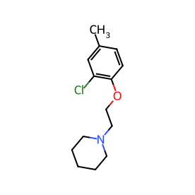 Cc1ccc(OCCN2CCCCC2)c(Cl)c1